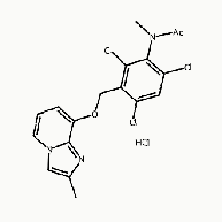 CC(=O)N(C)c1c(Cl)cc(Cl)c(COc2cccn3cc(C)nc23)c1Cl.Cl